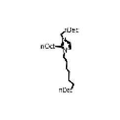 CCCCCCCCCCCCCCCC[n+]1ccn(CCCCCCCCCCC)c1CCCCCCCC